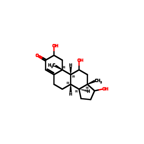 C[C@]12CC(O)C(=O)C=C1CC[C@@H]1[C@H]2C(O)C[C@]2(C)C(O)CC[C@@H]12